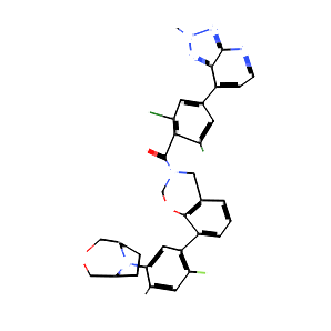 Cn1nc2nccc(-c3cc(Cl)c(C(=O)N4COc5c(cccc5-c5cc(N6C7CCC6COC7)c(C(=O)O)cc5F)C4)c(Cl)c3)c2n1